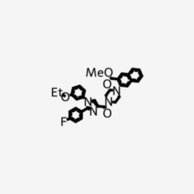 CCOc1cccc(-n2cc(C(=O)N3CCN(c4cc5ccccc5cc4C(=O)OC)CC3)nc2-c2ccc(F)cc2)c1